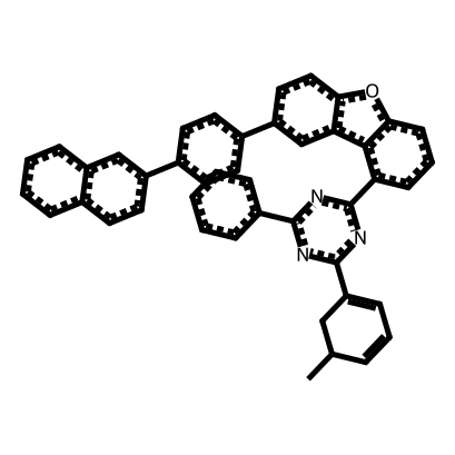 CC1C=CC=C(c2nc(-c3ccccc3)nc(-c3cccc4oc5ccc(-c6ccc(-c7ccc8ccccc8c7)cc6)cc5c34)n2)C1